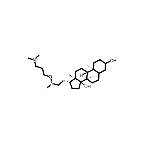 CN(C)CCCON(C)CC[C@H]1CC[C@@]2(O)[C@@H]3CCC4CC(O)CC[C@]4(C)[C@H]3CC[C@]12C